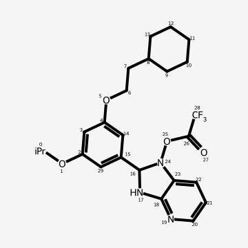 CC(C)Oc1cc(OCCC2CCCCC2)cc(C2Nc3ncccc3N2OC(=O)C(F)(F)F)c1